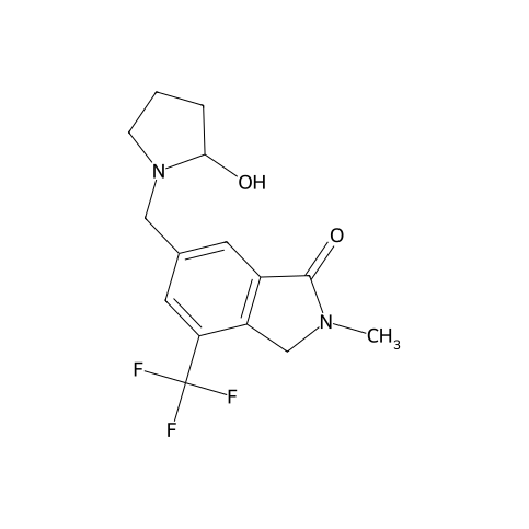 CN1Cc2c(cc(CN3CCCC3O)cc2C(F)(F)F)C1=O